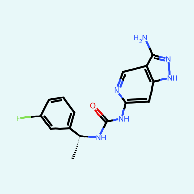 C[C@@H](NC(=O)Nc1cc2[nH]nc(N)c2cn1)c1cccc(F)c1